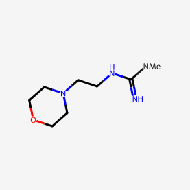 CNC(=N)NCCN1CCOCC1